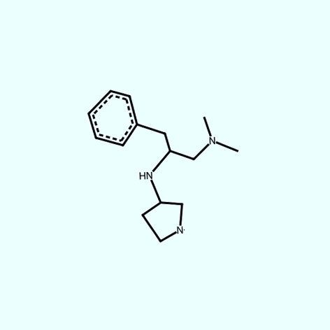 CN(C)CC(Cc1ccccc1)NC1CC[N]C1